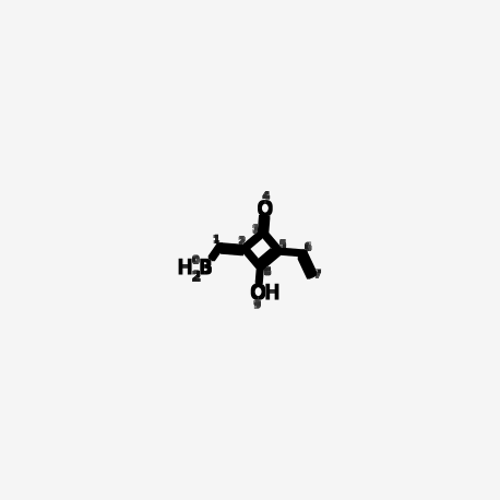 B/C=C1/C(=O)C(C=C)=C1O